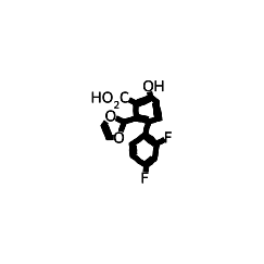 O=C(O)c1c(O)ccc(-c2ccc(F)cc2F)c1C1OC=CO1